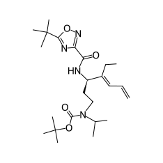 C=C/C=C(\CC)[C@@H](CCN(C(=O)OC(C)(C)C)C(C)C)NC(=O)c1noc(C(C)(C)C)n1